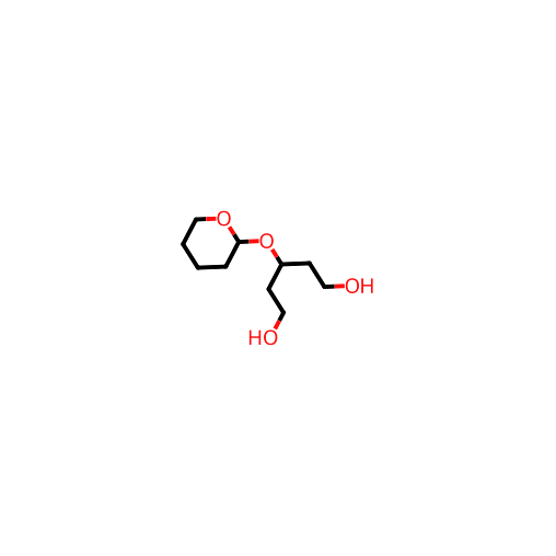 OCCC(CCO)OC1CCCCO1